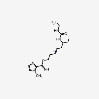 CCNC(=O)NC(CF)C/C=C/CCOC(=N)c1nccn1C